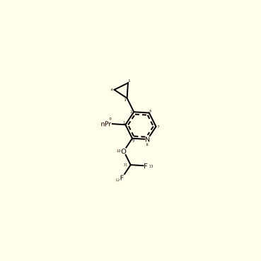 CCCc1c(C2CC2)ccnc1OC(F)F